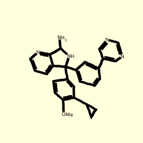 COc1ccc(C2(c3cccc(-c4cncnc4)c3)NC(N)c3ncccc32)cc1C1CC1